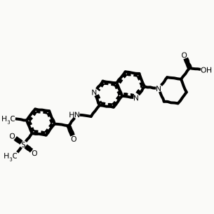 Cc1ccc(C(=O)NCc2cc3nc(N4CCCC(C(=O)O)C4)ccc3cn2)cc1S(C)(=O)=O